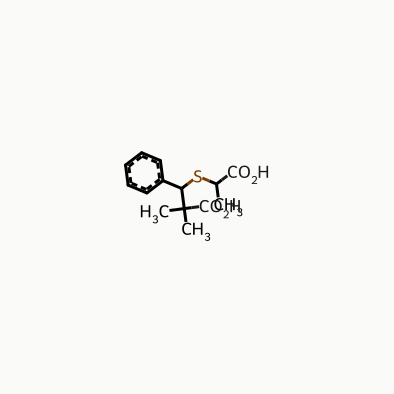 CC(SC(c1ccccc1)C(C)(C)C(=O)O)C(=O)O